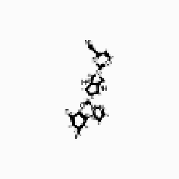 N#Cc1ccnc(N2C[C@H]3C[C@H](C(=O)N4N=CC[C@H]4c4cc(F)cc(F)c4)C[C@H]3C2)n1